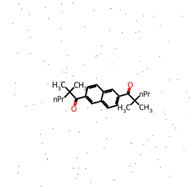 CCCC(C)(C)C(=O)c1ccc2cc(C(=O)C(C)(C)CCC)ccc2c1